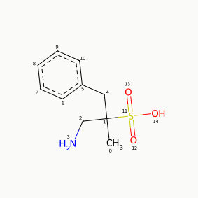 CC(CN)(Cc1ccccc1)S(=O)(=O)O